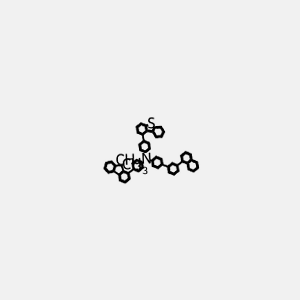 CC1(C)c2ccccc2-c2cccc(-c3ccc(N(c4ccc(-c5cccc(-c6cccc7ccccc67)c5)cc4)c4ccc(-c5cccc6sc7ccccc7c56)cc4)cc3)c21